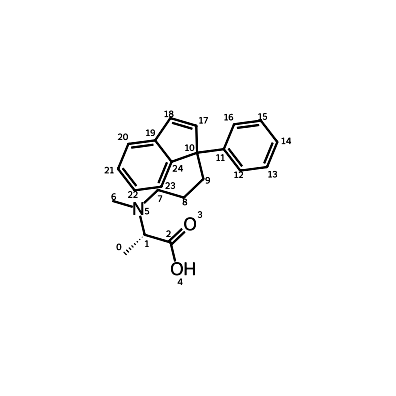 C[C@@H](C(=O)O)N(C)CCCC1(c2ccccc2)C=Cc2ccccc21